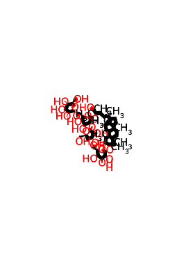 CC(CCC(O[C@@H]1O[C@H](CO[C@@H]2O[C@H](CO)[C@@H](O)[C@H](O)[C@H]2O)[C@@H](O)[C@H](O)[C@H]1O[C@@H]1O[C@H](CO)C[C@H](O)[C@H]1O)C(C)(C)O)C1CCC2(C)C3CC=C4C(CC[C@H](O[C@@H]5O[C@H](CO)[C@@H](O)[C@H](O)[C@H]5O)C4(C)C)C3(C)CCC12C